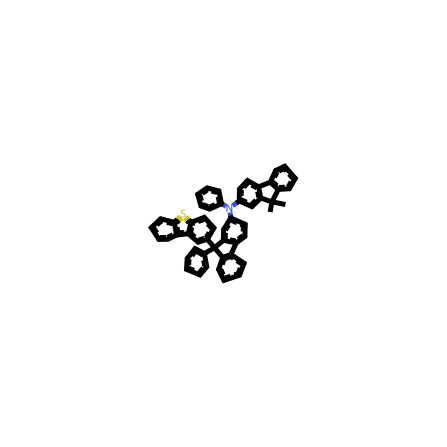 CC1(C)c2ccccc2-c2ccc(N(c3ccccc3)c3ccc4c(c3)C(c3ccccc3)(c3ccc5sc6ccccc6c5c3)c3ccccc3-4)cc21